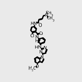 COc1cccc2c1ccn2-c1ccnc(Nc2cccc(NC(=O)c3cc(NC(=O)C=CCN(C)C)ccc3Cl)c2)n1